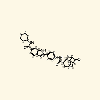 O=C(NC1CCCCC1)c1ccc2cc(-c3ccc(NC(=O)C45CC6CC7C(=O)C(C4)C7(C6)C5)cc3)[nH]c2c1